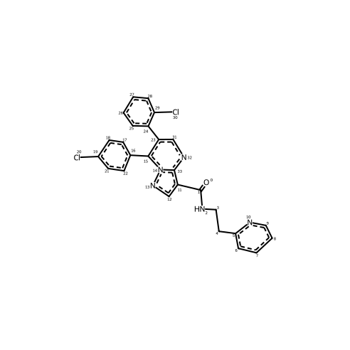 O=C(NCCc1ccccn1)c1cnn2c(-c3ccc(Cl)cc3)c(-c3ccccc3Cl)cnc12